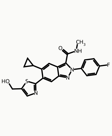 CNC(=O)c1c2cc(C3CC3)c(-c3ncc(CO)s3)cc2nn1-c1ccc(F)cc1